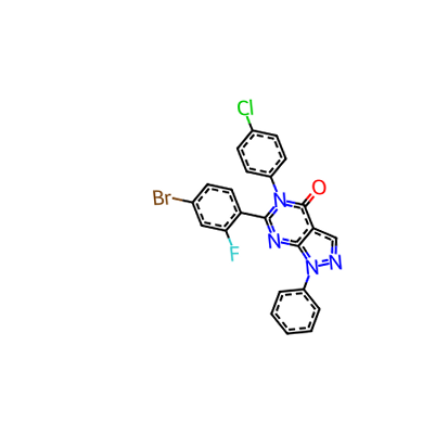 O=c1c2cnn(-c3ccccc3)c2nc(-c2ccc(Br)cc2F)n1-c1ccc(Cl)cc1